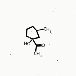 CC(=O)[C@]1(O)CCC[C@@H](C)C1